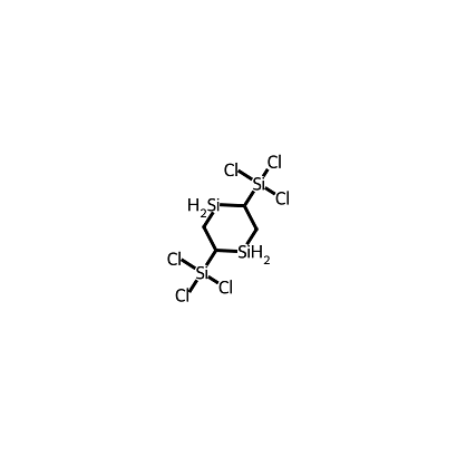 Cl[Si](Cl)(Cl)C1C[SiH2]C([Si](Cl)(Cl)Cl)C[SiH2]1